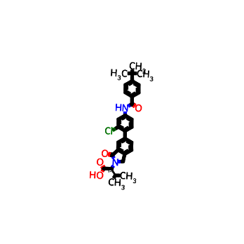 CC(C)[C@@H](C(=O)O)N1Cc2ccc(-c3ccc(NC(=O)c4ccc(C(C)(C)C)cc4)cc3Cl)cc2C1=O